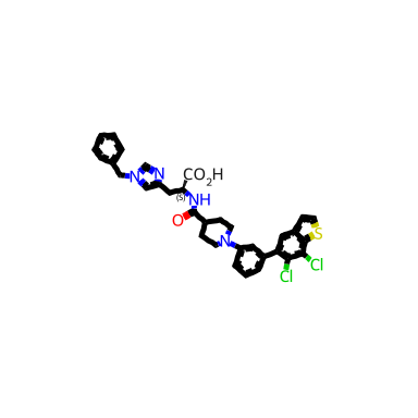 O=C(N[C@@H](Cc1cn(Cc2ccccc2)cn1)C(=O)O)C1CCN(c2cccc(-c3cc4ccsc4c(Cl)c3Cl)c2)CC1